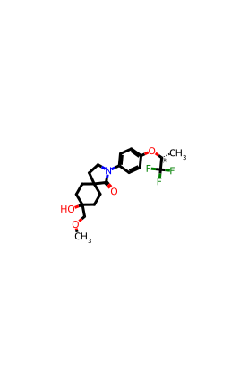 COCC1(O)CCC2(CCN(c3ccc(O[C@H](C)C(F)(F)F)cc3)C2=O)CC1